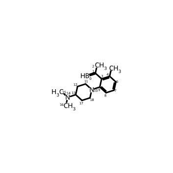 B=C(C)c1c(C)cccc1N1CCC(N(C)C)CC1